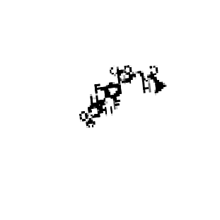 O=C(NC[C@H]1CN(c2cc(F)c([C@H]3[C@@H]4CS(=O)(=O)C[C@@H]43)c(F)c2)C(=O)O1)C1CC1